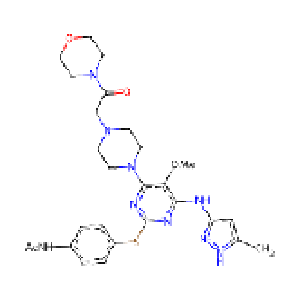 COc1c(Nc2cc(C)[nH]n2)nc(Sc2ccc(NC(C)=O)cc2)nc1N1CCN(CC(=O)N2CCOCC2)CC1